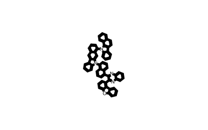 c1cc(-n2c3ccccc3c3ccc4ccccc4c32)c2cc3c(cc2c1)c1ccccc1n3-c1cccc2c(-c3nc4ccccc4nc3-c3cccc4oc5ccccc5c34)cccc12